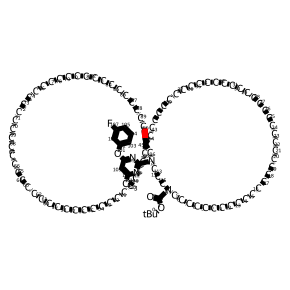 CC(C)(C)OC(=O)N1CCCCCCCCCCCCCCCCCCCCCCCCCCCCCCCCCCCCCCCCC2(CCCCCCCCCCCCCCCCCCCCCCCCCCCCCCCCCCCCCCCCCCCCCC23OCCO3)CN(c2nc(Oc3cccc(F)c3)cc(C(F)(F)F)n2)CCC1